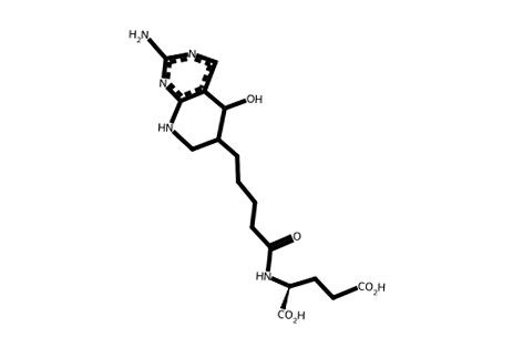 Nc1ncc2c(n1)NCC(CCCCC(=O)N[C@@H](CCC(=O)O)C(=O)O)C2O